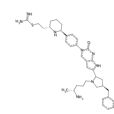 C[C@@H](N)CCCN1C[C@H](Cc2ccccc2)CC1c1cc2cn(-c3ccc([C@@H]4CCC[C@@H](CCSC(=N)N)N4)cc3)c(=O)nc2[nH]1